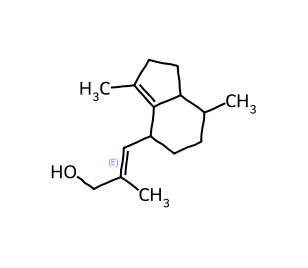 CC1=C2C(/C=C(\C)CO)CCC(C)C2CC1